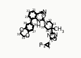 CC1(c2noc([C@@H]3C[C@@H]3F)n2)CCN(C(=O)Nc2c(C#N)cccc2-c2ccc3c(c2)OCCO3)CC1